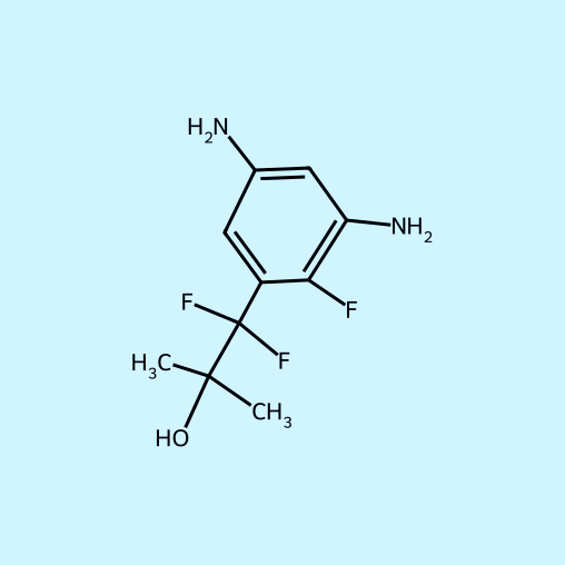 CC(C)(O)C(F)(F)c1cc(N)cc(N)c1F